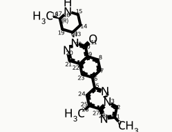 Cc1cn2nc(-c3ccc4c(=O)n([C@H]5CCN[C@H](C)C5)ncc4c3)cc(C)c2n1